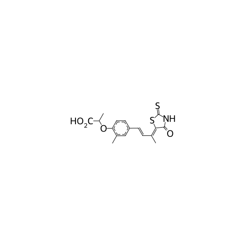 CC(C=Cc1ccc(OC(C)C(=O)O)c(C)c1)=C1SC(=S)NC1=O